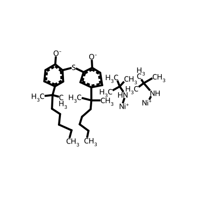 CC(C)(C)[NH][Ni+].CC(C)(C)[NH][Ni+].CCCCCC(C)(C)c1ccc([O-])c(Sc2cc(C(C)(C)CCCCC)ccc2[O-])c1